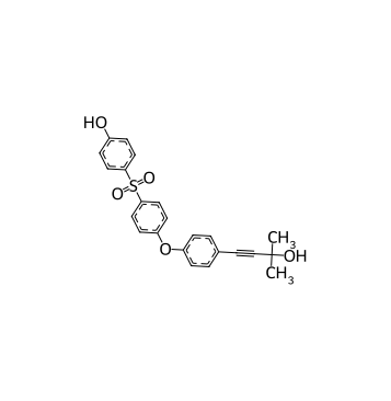 CC(C)(O)C#Cc1ccc(Oc2ccc(S(=O)(=O)c3ccc(O)cc3)cc2)cc1